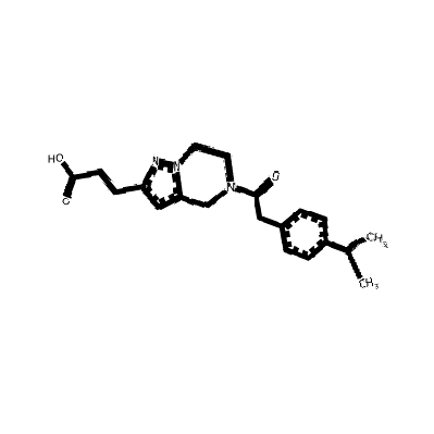 CC(C)c1ccc(CC(=O)N2CCn3nc(CCC(=O)O)cc3C2)cc1